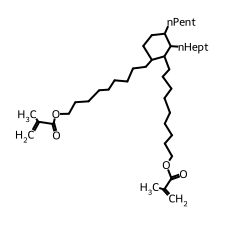 C=C(C)C(=O)OCCCCCCCCCC1CCC(CCCCC)C(CCCCCCC)C1CCCCCCCCCOC(=O)C(=C)C